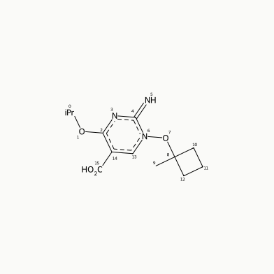 CC(C)Oc1nc(=N)n(OC2(C)CCC2)cc1C(=O)O